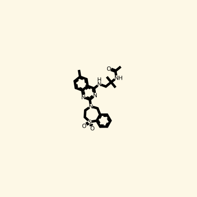 CC(=O)NC(C)(C)CNc1nc(N2CCS(=O)(=O)c3ccccc3C2)nc2ccc(C)cc12